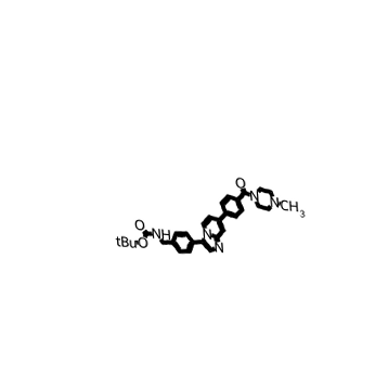 CN1CCN(C(=O)c2ccc(-c3ccn4c(-c5ccc(CNC(=O)OC(C)(C)C)cc5)cnc4c3)cc2)CC1